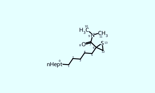 CCCCCCCCCCCCC1(C(=O)N(C)C)CS1